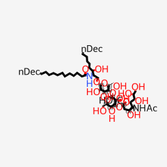 CCCCCCCCCCCCCCCCCCCCCC(=O)NC(CO[C@@H]1O[C@H](CO)[C@@H](O[C@@H]2O[C@H](CO)[C@H](O)[C@H](O[C@]3(C(=O)O)C[C@H](O)[C@@H](NC(C)=O)C(C(O)C(O)CO)O3)[C@H]2O)[C@H](O)[C@H]1O)C(O)CCCCCCCCCCCCCCC